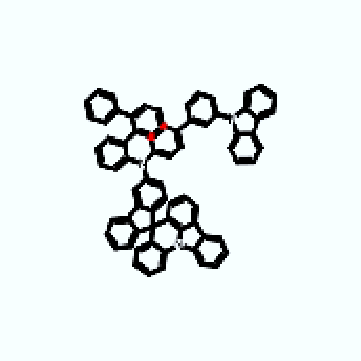 c1ccc(-c2ccccc2-c2ccccc2N(c2ccc(-c3cccc(-n4c5ccccc5c5ccccc54)c3)cc2)c2ccc3c(c2)-c2ccccc2C32c3ccccc3-n3c4ccccc4c4cccc2c43)cc1